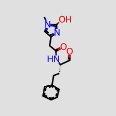 Cn1cc(CC(=O)N[C@H](C=O)CCc2ccccc2)nc1O